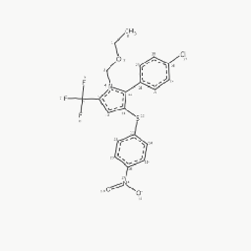 CCOCn1c(C(F)(F)F)cc(Sc2ccc([N+](=O)[O-])cc2)c1-c1ccc(Cl)cc1